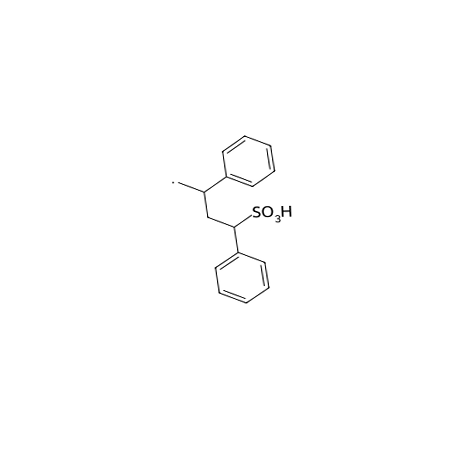 [CH2]C(CC(c1ccccc1)S(=O)(=O)O)c1ccccc1